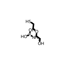 NP(O)O.OCCOCCS